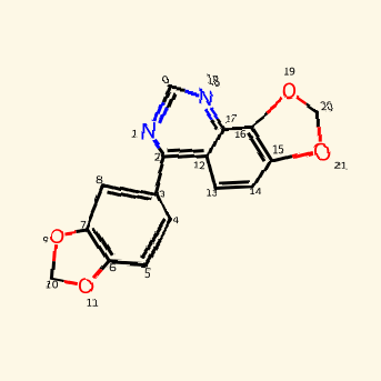 c1nc(-c2ccc3c(c2)OCO3)c2ccc3c(c2n1)OCO3